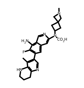 Cc1c(-c2cc3cc(N(C(=O)O)C4CC5(C4)CN(C)C5)ncc3c(N)c2F)cnc2c1NCCC2